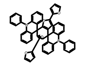 c1ccc(N2c3ccccc3C3(c4ccccc42)c2cc(-c4ccco4)oc2C2(c4ccccc4N(c4ccccc4)c4ccccc42)c2cc(-c4ccco4)oc23)cc1